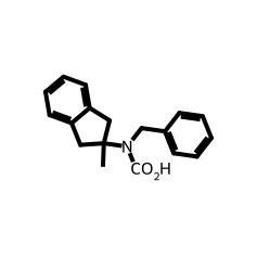 CC1(N(Cc2ccccc2)C(=O)O)Cc2ccccc2C1